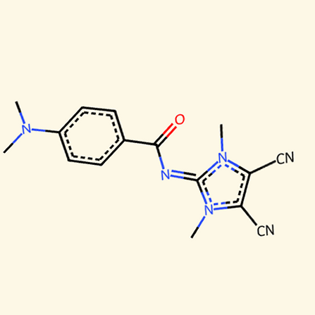 CN(C)c1ccc(C(=O)N=c2n(C)c(C#N)c(C#N)n2C)cc1